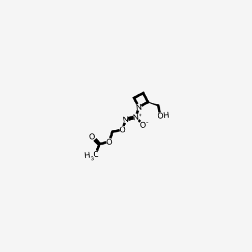 CC(=O)OCO/N=[N+](\[O-])N1CC[C@H]1CO